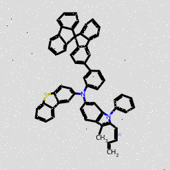 C=C/C=C\c1c(C)c2ccc(N(c3cccc(-c4ccc5c(c4)-c4ccccc4C54c5ccccc5-c5ccccc54)c3)c3ccc4sc5ccccc5c4c3)cc2n1-c1ccccc1